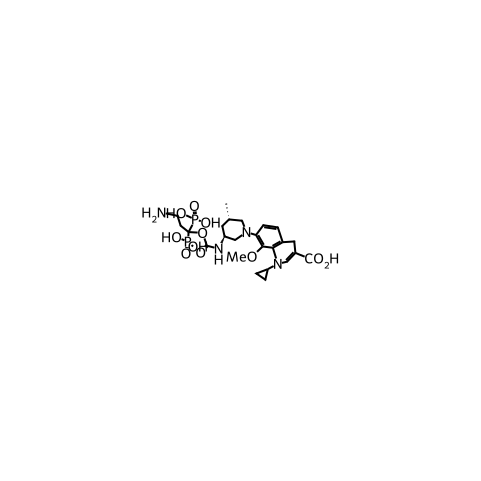 COc1c(N2C[C@@H](C)C[C@H](NC(=O)OC(CCN)(P(=O)(O)O)P(=O)(O)O)C2)ccc2c1N(C1CC1)C=C(C(=O)O)C2